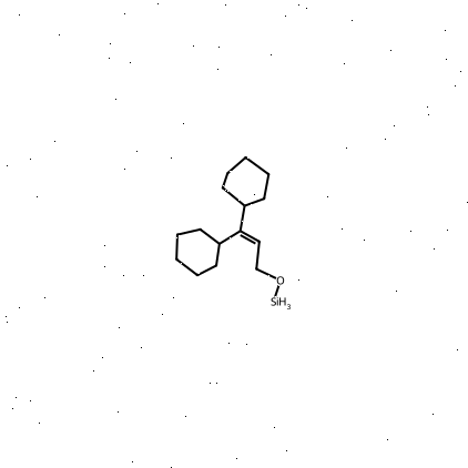 [SiH3]OCC=C(C1CCCCC1)C1CCCCC1